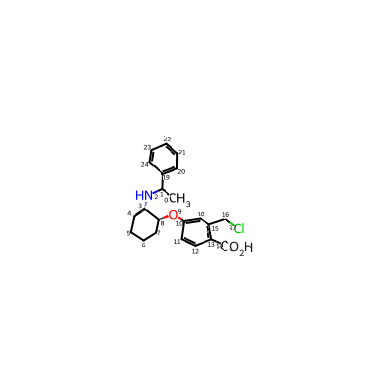 CC(N[C@H]1CCCC[C@@H]1Oc1ccc(C(=O)O)c(CCl)c1)c1ccccc1